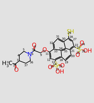 CC(=O)C1CCN(C(=O)COc2cc(S(=O)(=O)O)c3ccc4c(S(=O)(=O)O)cc(S)c5ccc2c3c54)CC1